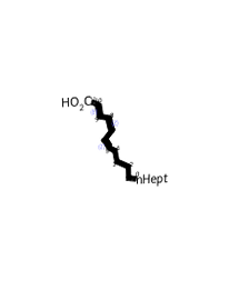 CCCCCCCCCCC\C=C/C=C\C=C\C(=O)O